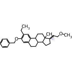 CCc1cc2c(cc1OCc1ccccc1)CCC1C2CCC2(C)/C(=C/COC)CCC12